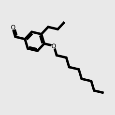 CCCCCCCCOc1ccc(C=O)cc1CCC